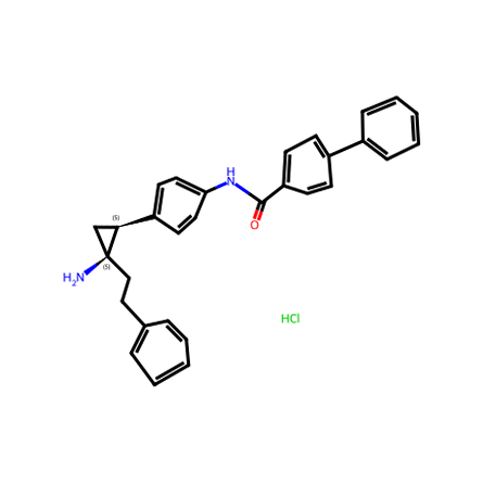 Cl.N[C@@]1(CCc2ccccc2)C[C@H]1c1ccc(NC(=O)c2ccc(-c3ccccc3)cc2)cc1